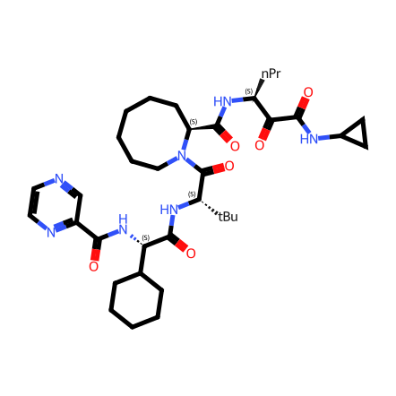 CCC[C@H](NC(=O)[C@@H]1CCCCCCN1C(=O)[C@@H](NC(=O)[C@@H](NC(=O)c1cnccn1)C1CCCCC1)C(C)(C)C)C(=O)C(=O)NC1CC1